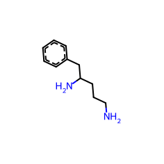 NCCCC(N)Cc1ccccc1